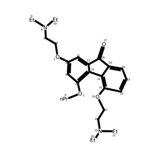 CCCOc1cc(OCCN(CC)CC)cc2c1-c1c(OCCN(CC)CC)cccc1C2=O